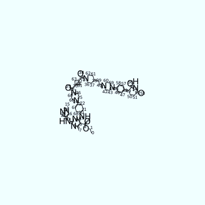 CCOC(=O)c1c(C)nc(Nc2cnn(C)c2)nc1NC1CCC(N2CCN(C(=O)C34CC(C(=O)N5CCC(CCN6CCN(c7ccc(C8CCC(=O)NC8=O)cc7)CC6)CC5)(C3)C4)CC2)CC1